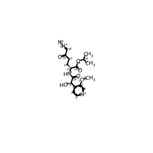 COc1cnccc1[C@@H](O)C(=O)N[C@@H](CCC(=O)C=[N+]=[N-])C(=O)OC(C)C